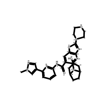 Cn1cc(-c2cccc(NC(=O)c3cc4oc(N5CCOCC5)nc4nc3N3C4CCC3CC(O)C4)n2)cn1